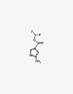 Cn1cc(C(=O)OC(F)F)cn1